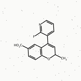 CC1C=C(c2cccnc2F)c2cc(C(=O)O)ccc2O1